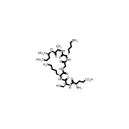 C[C@H](NC(=O)[C@H](CCCCN)NC(=O)CNC(=O)[C@H](CCCCN)NC(=O)[C@H](CO)NC(=O)[C@@H](N)CCC(=O)O)C(=O)N[C@@H](CCC(=O)O)C(=O)O